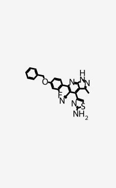 Cc1n[nH]c2nc(-c3ccc(OCc4ccccc4)cc3F)c(C#N)c(-c3csc(N)n3)c12